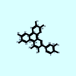 Cc1ccc(-c2cc3c4cc(C)c(C)cc4c4cc(C)c(C)cc4c3c(C)c2C)cc1C